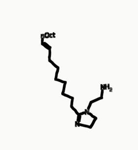 CCCCCCCC/C=C/CCCCCCCC1=NCCN1CCN